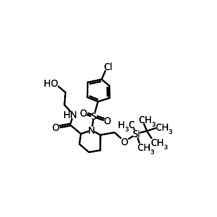 CC(C)(C)[Si](C)(C)OCC1CCCC(C(=O)NCCO)N1S(=O)(=O)c1ccc(Cl)cc1